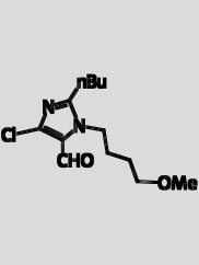 CCCCc1nc(Cl)c(C=O)n1CCCCOC